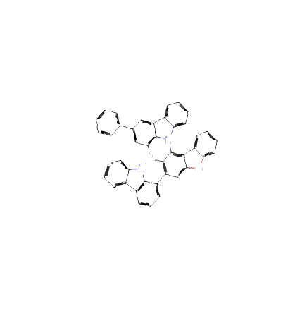 c1ccc(-c2cc3c4c(c2)c2ccccc2n4-c2c4c(cc5oc6ccccc6c25)-c2cccc5c6ccccc6n(c25)B43)cc1